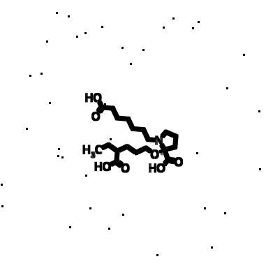 CCC(CCCO[C@@]1(C(=O)O)CCCN1CCCCCCC(=O)O)C(=O)O